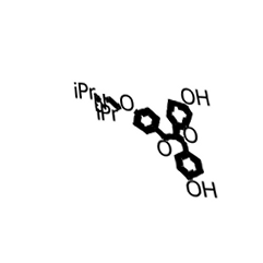 CC(C)N(CCOc1ccc(C(=O)c2c(-c3ccc(O)cc3)oc3cc(O)ccc23)cc1)C(C)C